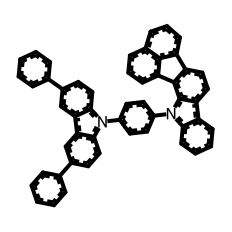 c1ccc(-c2ccc3c(c2)c2cc(-c4ccccc4)ccc2n3-c2ccc(-n3c4ccccc4c4ccc5c(c43)-c3cccc4cccc-5c34)cc2)cc1